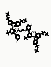 CC(C)(C)CC(C)(C)c1ccc2c(c1)c1cc(C(C)(C)CC(C)(C)C)ccc1n2-c1cc(C(C)(C)C)cc(-c2cc(F)ccc2OCCCOC2(O)C(c3cccc(F)c3)=CC(C(C)(C)C)=CC2n2c3ccc(C(C)(C)CC(C)(C)C)cc3c3cc(C(C)(C)CC(C)(C)C)ccc32)c1O